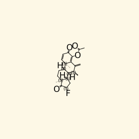 C=C1C2=C(OC(C)=O)C(=O)C=C[C@]2(C)[C@H]2CC[C@]3(C)C(=O)[C@@H](F)C[C@H]3[C@@H]2[C@@H]1C